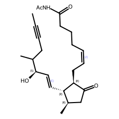 CC#CCC(C)[C@H](O)/C=C/[C@H]1[C@H](C)CC(=O)[C@@H]1C/C=C\CCCC(=O)NC(C)=O